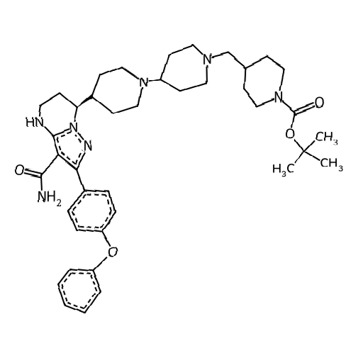 CC(C)(C)OC(=O)N1CCC(CN2CCC(N3CCC([C@@H]4CCNc5c(C(N)=O)c(-c6ccc(Oc7ccccc7)cc6)nn54)CC3)CC2)CC1